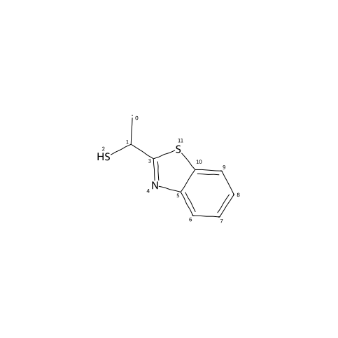 [CH2]C(S)c1nc2ccccc2s1